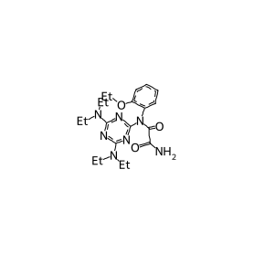 CCOc1ccccc1N(C(=O)C(N)=O)c1nc(N(CC)CC)nc(N(CC)CC)n1